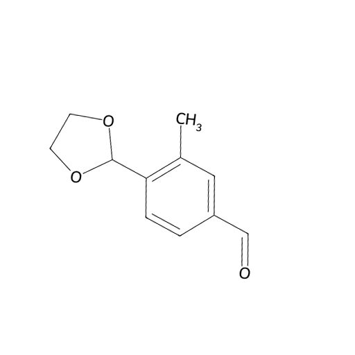 Cc1cc(C=O)ccc1C1OCCO1